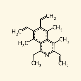 C=Cc1nc(CC)c2c(C)c(C=C)c(C=C)c(C)c2c1C